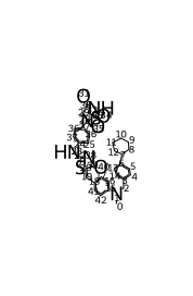 CN(Cc1ccc(C2CCCCC2)cc1)c1ccc(C=C2SC(Nc3ccc(N4CC(=O)NS4(=O)=O)cc3)=NC2=O)cc1